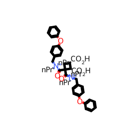 CCC[N+](CCC)(Cc1ccc(Oc2ccccc2)cc1)C(=O)C1(C(=O)[N+](CCC)(CCC)Cc2ccc(Oc3ccccc3)cc2)C[C@@H](C(=O)O)[C@@H]1C(=O)O